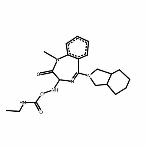 CCNC(=O)ONC1N=C(N2CC3CCCCC3C2)c2ccccc2N(C)C1=O